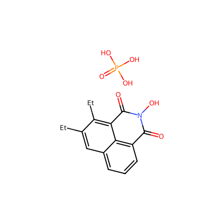 CCc1cc2cccc3c2c(c1CC)C(=O)N(O)C3=O.O=P(O)(O)O